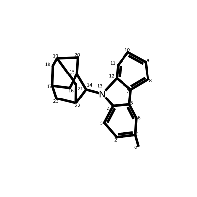 Cc1ccc2c(c1)c1ccccc1n2C1C2CC3CC(C2)CC1C3